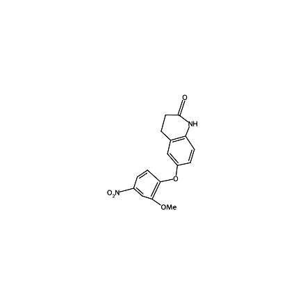 COc1cc([N+](=O)[O-])ccc1Oc1ccc2c(c1)CCC(=O)N2